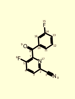 N#Cc1ccc(F)c(C(=O)c2cccc(F)c2)n1